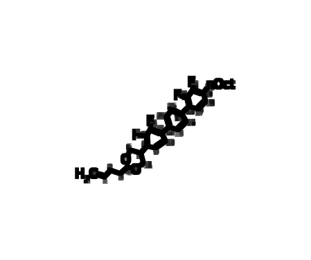 C=CCCC1OCC(c2ccc(-c3ccc(-c4ccc(CCCCCCCC)c(F)c4F)cc3)c(F)c2F)CO1